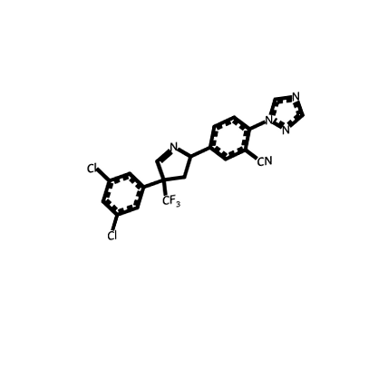 N#Cc1cc(C2CC(c3cc(Cl)cc(Cl)c3)(C(F)(F)F)C=N2)ccc1-n1cncn1